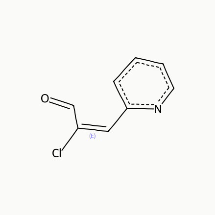 O=C/C(Cl)=C\c1ccccn1